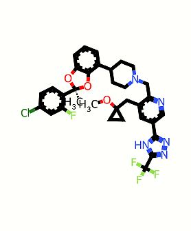 COC1(Cc2cc(-c3nnc(C(F)(F)F)[nH]3)cnc2CN2CCC(c3cccc4c3O[C@@](C)(c3ccc(Cl)cc3F)O4)CC2)CC1